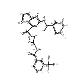 CC(Nc1nc(C(=O)N2CC(NC(=O)c3cccc(C(F)(F)F)c3)C2)c2sccc2n1)c1cncc(F)c1